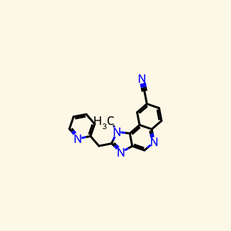 Cn1c(Cc2ccccn2)nc2cnc3ccc(C#N)cc3c21